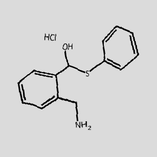 Cl.NCc1ccccc1C(O)Sc1ccccc1